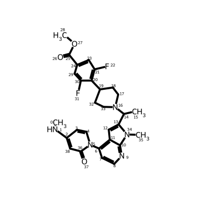 CNc1ccn(-c2ccnc3c2cc(C(C)N2CCC(c4c(F)cc(C(=O)OC)cc4F)CC2)n3C)c(=O)c1